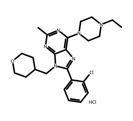 CCN1CCN(c2nc(C)nc3c2nc(-c2ccccc2Cl)n3CC2CCOCC2)CC1.Cl